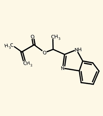 C=C(C)C(=O)OC(C)c1nc2ccccc2[nH]1